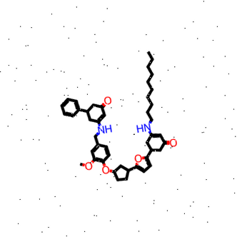 CCCCCCCCCCNC1=CC(=O)CC(c2ccc(C3CCC(Oc4ccc(CNC5=CC(=O)CC(c6ccccc6)C5)cc4OC)C3)o2)C1